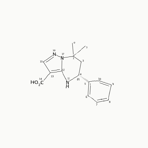 CC1(C)C[C@H](c2ccccc2)Nc2c(C(=O)O)cnn21